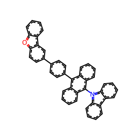 c1ccc2c(c1)oc1ccc(-c3ccc(-c4c5ccccc5c(-n5c6ccccc6c6ccccc65)c5ccccc45)cc3)cc12